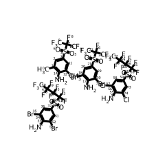 Cc1cc(S(=O)(=O)C(F)(C(F)(F)F)C(F)(F)F)cc(C)c1N.Nc1c(Br)cc(S(=O)(=O)C(F)(C(F)(F)F)C(F)(F)F)cc1Br.Nc1c(Br)cc(S(=O)(=O)C(F)(F)C(F)(F)C(F)(F)C(F)(F)F)cc1Br.Nc1c(Cl)cc(S(=O)(=O)C(F)(F)C(F)(F)C(F)(F)C(F)(F)F)cc1Cl